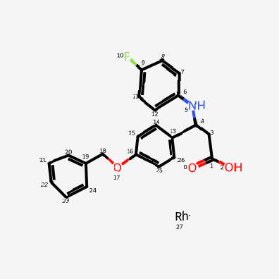 O=C(O)CC(Nc1ccc(F)cc1)c1ccc(OCc2ccccc2)cc1.[Rh]